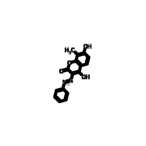 Cc1c(O)ccc2c(O)c(/N=N/c3ccccc3)c(=O)oc12